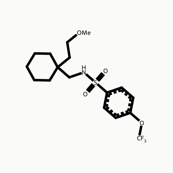 COCCC1(CNS(=O)(=O)c2ccc(OC(F)(F)F)cc2)CCCCC1